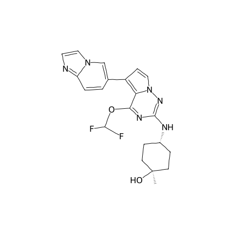 C[C@]1(O)CC[C@H](Nc2nc(OC(F)F)c3c(-c4ccc5nccn5c4)ccn3n2)CC1